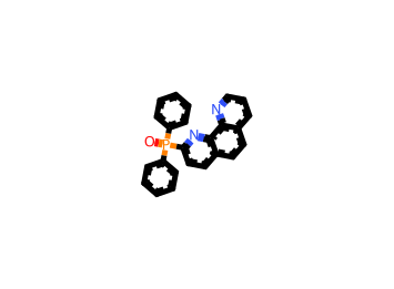 O=P(c1ccccc1)(c1ccccc1)c1ccc2ccc3cccnc3c2n1